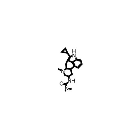 CN(C)C(=O)NC1CC2c3cccc4[nH]c(C5CC5)c(c34)CC2N(C)C1